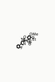 CCOc1cc(C(CS(C)(=O)=O)n2c(=O)n(C)c3cc(-c4ccccc4F)cnc32)ccc1OC